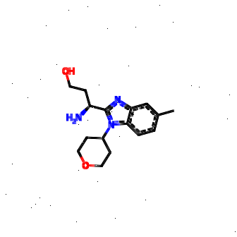 Cc1ccc2c(c1)nc([C@@H](N)CCO)n2C1CCOCC1